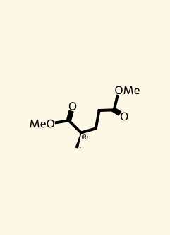 [CH2][C@H](CCC(=O)OC)C(=O)OC